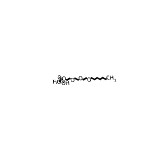 CCCCCCCOCCOCCOCCOP(=O)(O)O